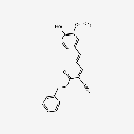 COc1cc(C=CC=C(C#N)C(=O)OCc2ccccc2)ccc1O